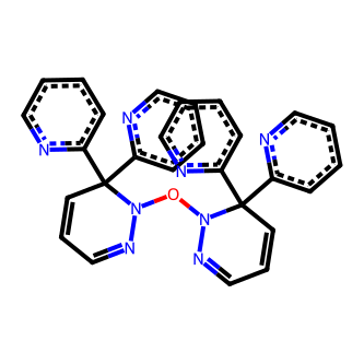 C1=CC(c2ccccn2)(c2ccccn2)N(ON2N=CC=CC2(c2ccccn2)c2ccccn2)N=C1